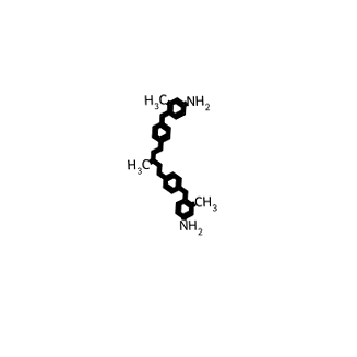 Cc1cc(N)ccc1Cc1ccc(CCC(C)CCc2ccc(Cc3ccc(N)cc3C)cc2)cc1